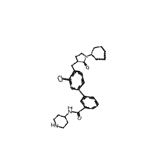 O=C(NC1CCNCC1)c1cccc(-c2ccc(CC3CCN(C4CCCCC4)C3=O)c(Cl)c2)c1